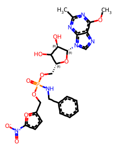 COc1nc(C)nc2c1ncn2[C@@H]1O[C@H](COP(=O)(NCc2ccccc2)OCc2ccc([N+](=O)[O-])o2)C(O)[C@H]1O